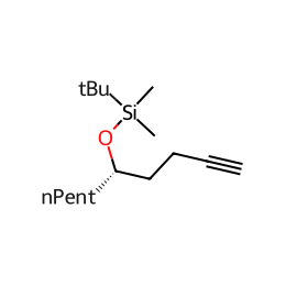 C#CCC[C@H](CCCCC)O[Si](C)(C)C(C)(C)C